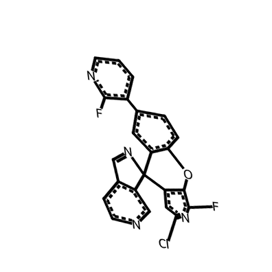 Fc1ncccc1-c1ccc2c(c1)C1(N=Cc3ccncc31)c1cc(Cl)nc(F)c1O2